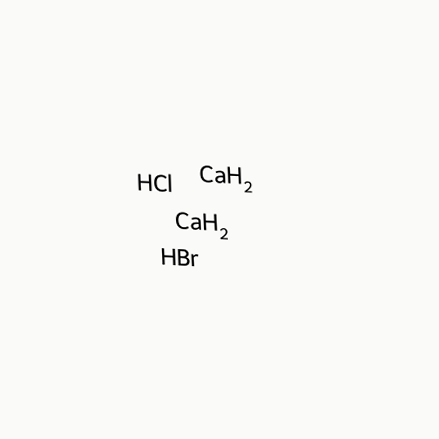 Br.Cl.[CaH2].[CaH2]